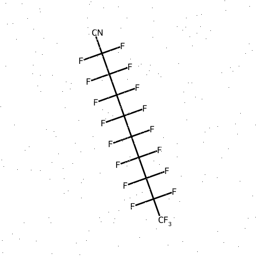 N#CC(F)(F)C(F)(F)C(F)(F)C(F)(F)C(F)(F)C(F)(F)C(F)(F)C(F)(F)C(F)(F)F